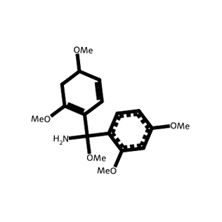 COC1=C(C(N)(OC)c2ccc(OC)cc2OC)C=CC(OC)C1